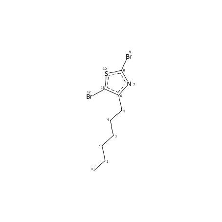 CCCCCCc1nc(Br)sc1Br